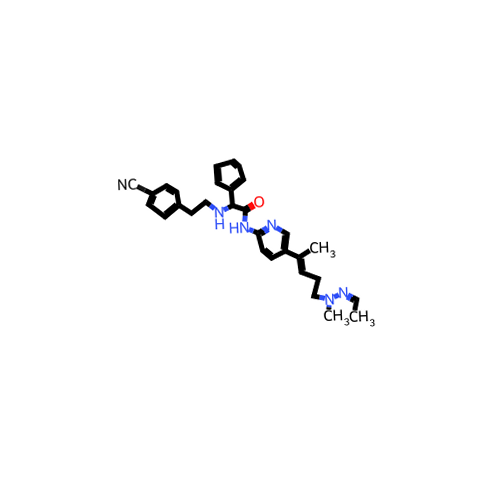 C/C=N\N(C)CC/C=C(\C)c1ccc(NC(=O)C(NCCc2ccc(C#N)cc2)c2ccccc2)nc1